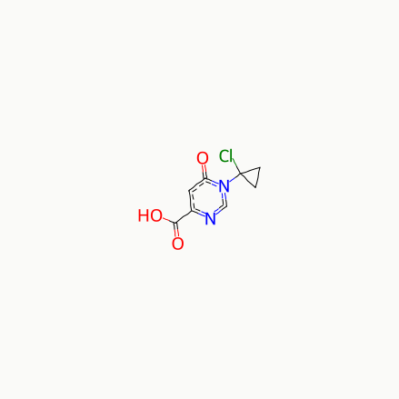 O=C(O)c1cc(=O)n(C2(Cl)CC2)cn1